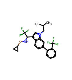 CC(C)Cn1cc(C(NSC2CC2)C(F)(F)F)c2ccc(-c3ccccc3C(F)(F)F)cc21